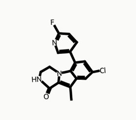 Cc1c2n(c3c(-c4ccc(F)nc4)cc(Cl)cc13)CCNC2=O